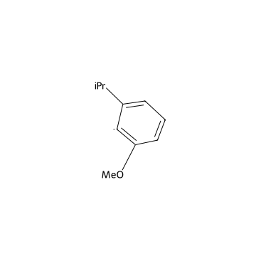 COc1[c]c(C(C)C)ccc1